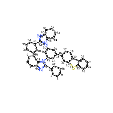 c1ccc(-c2nc3ccccc3n2-c2cc(-c3ccc4c(c3)sc3ccccc34)cc(-n3c(-c4ccccc4)nc4ccccc43)c2)cc1